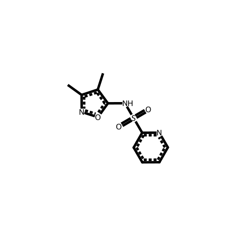 Cc1noc(NS(=O)(=O)c2ccccn2)c1C